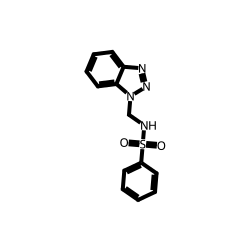 O=S(=O)(NCn1nnc2ccccc21)c1ccccc1